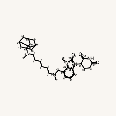 CN(CCCCCCN(C)C12CC3CC(CC(C3)C1)C2)Cc1cccc2c1n(C)c(=O)n2C1CCC(=O)NC1=O